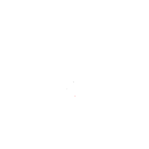 CCCCCC(CCCC)(CCCC)C(O)(O)CCCC